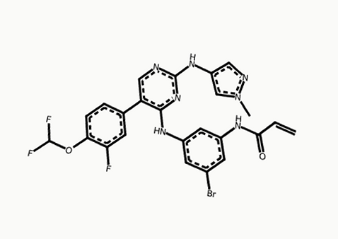 C=CC(=O)Nc1cc(Br)cc(Nc2nc(Nc3cnn(C)c3)ncc2-c2ccc(OC(F)F)c(F)c2)c1